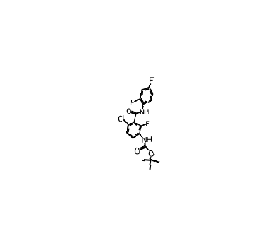 CC(C)(C)OC(=O)Nc1ccc(Cl)c(C(=O)Nc2ccc(F)cc2F)c1F